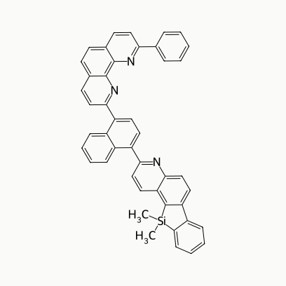 C[Si]1(C)c2ccccc2-c2ccc3nc(-c4ccc(-c5ccc6ccc7ccc(-c8ccccc8)nc7c6n5)c5ccccc45)ccc3c21